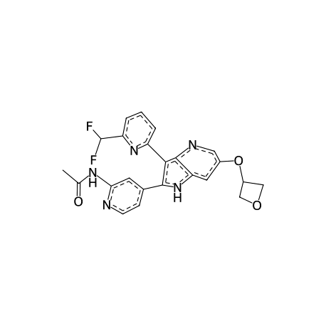 CC(=O)Nc1cc(-c2[nH]c3cc(OC4COC4)cnc3c2-c2cccc(C(F)F)n2)ccn1